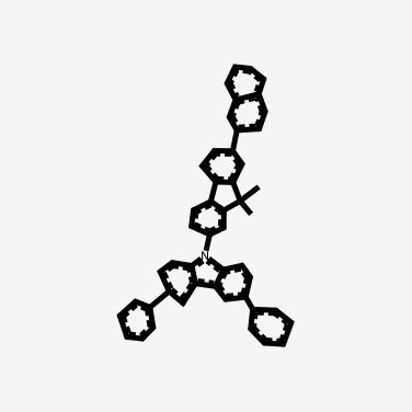 CC1(C)c2cc(-c3ccc4ccccc4c3)ccc2-c2ccc(-n3c4ccc(-c5ccccc5)cc4c4cc(-c5ccccc5)ccc43)cc21